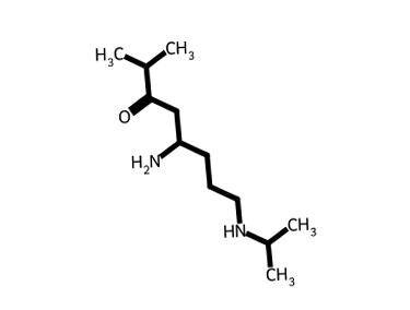 CC(C)NCCCC(N)CC(=O)C(C)C